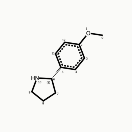 COc1ccc([C@@H]2CCCN2)cc1